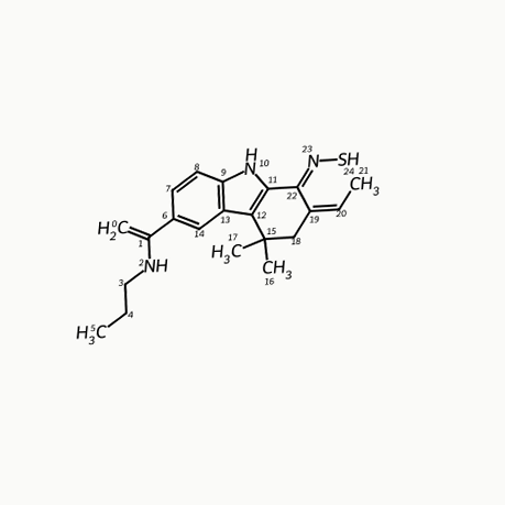 C=C(NCCC)c1ccc2[nH]c3c(c2c1)C(C)(C)CC(=C/C)/C3=N\S